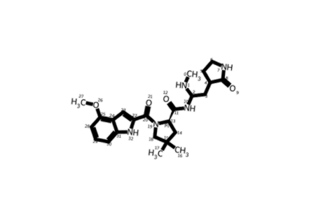 CNC(CC1CCNC1=O)NC(=O)[C@H]1CC(C)(C)CN1C(=O)c1cc2c(OC)cccc2[nH]1